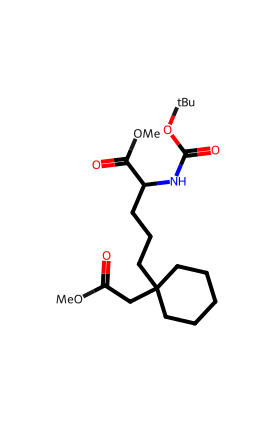 COC(=O)CC1(CCCC(NC(=O)OC(C)(C)C)C(=O)OC)CCCCC1